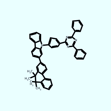 CC1(C)c2ccccc2-c2ccc(-c3ccc4c5ccccc5n(-c5ccc(-c6nc(-c7ccccc7)nc(-c7ccccc7)n6)cc5)c4c3)cc2C1(C)C